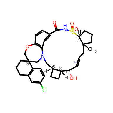 CC12C/C=C/[C@H](O)[C@@H]3CC[C@H]3CN3C[C@@]4(CCCc5cc(Cl)ccc54)COc4ccc(cc43)C(=O)NS(=O)(=O)[C@H]1CCC2